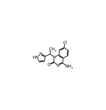 CC(c1cc[nH]n1)n1c(=O)nc(N)c2ccc(Cl)cc21